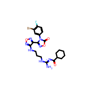 N/C(=N\C(=O)C1CCCCC1)NCCCNc1nonc1-c1noc(=O)n1-c1ccc(F)c(Br)c1